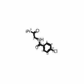 CC(C)C(=O)CNC(=O)c1ccc(Cl)cc1